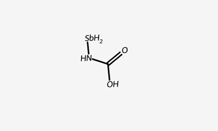 O=C(O)[NH][SbH2]